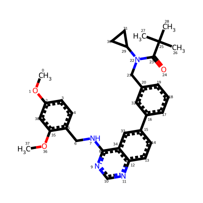 COc1ccc(CNc2ncnc3ccc(-c4cccc(CN(C(=O)C(C)(C)C)C5CC5)c4)cc23)c(OC)c1